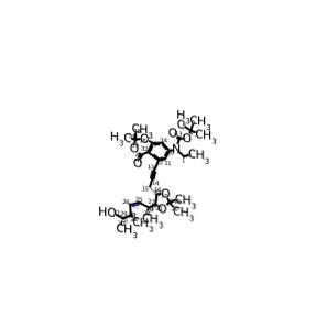 CCN(C(=O)OC(C)(C)C)c1cc(C#CC[C@@H]2OC(C)(C)O[C@@H]2[C@H](C)/C=C\[C@@H](C)[C@H](C)O)c2c(c1)OC(C)(C)OC2=O